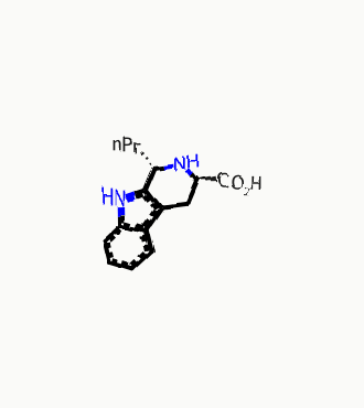 CCC[C@@H]1N[C@@H](C(=O)O)Cc2c1[nH]c1ccccc21